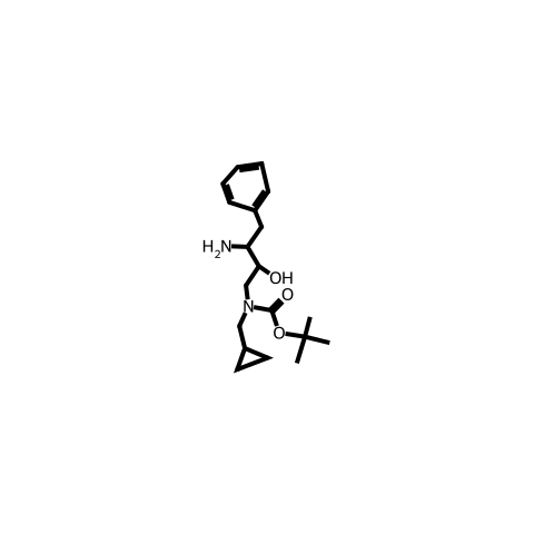 CC(C)(C)OC(=O)N(CC1CC1)CC(O)C(N)Cc1ccccc1